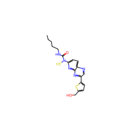 CCCCCNC(=O)N(S)c1ccc2ncc(-c3ccc(CO)s3)nc2n1